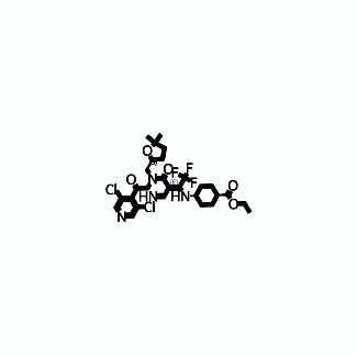 CCOC(=O)[C@H]1CC[C@H](N/C(=C(\C=N)C(=O)N(CC(=O)c2c(Cl)cncc2Cl)C[C@@H]2CCC(C)(C)O2)C(F)(F)F)CC1